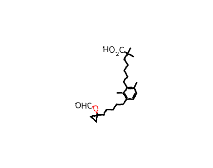 Cc1ccc(CCCCCC2(OC=O)CC2)c(C)c1CCCCCC(C)(C)C(=O)O